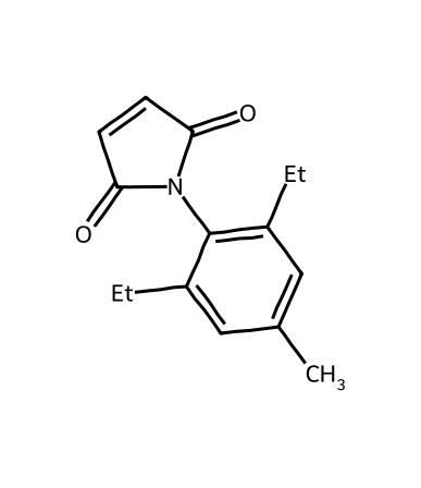 CCc1cc(C)cc(CC)c1N1C(=O)C=CC1=O